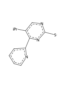 CC(C)c1cnc([S])nc1-c1ccccn1